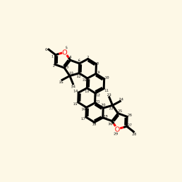 Cc1cc2c(o1)-c1ccc3ccc4c(ccc5ccc6c(c54)C(C)(C)c4cc(C)oc4-6)c3c1C2(C)C